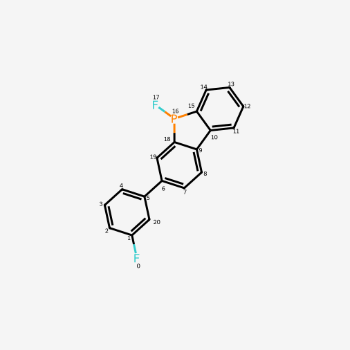 Fc1cccc(-c2ccc3c4ccccc4p(F)c3c2)c1